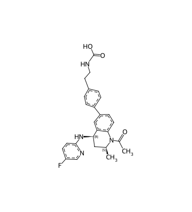 CC(=O)N1c2ccc(-c3ccc(CCNC(=O)O)cc3)cc2[C@H](Nc2ccc(F)cn2)C[C@@H]1C